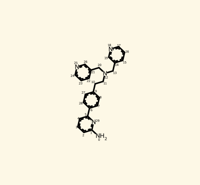 Nc1cccc(-c2ccc(CCN(Cc3cccnc3)Cc3cccnc3)cc2)n1